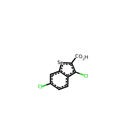 O=C(O)c1[se]c2cc(Cl)ccc2c1Cl